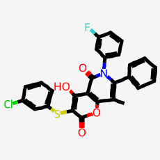 Cc1c(-c2ccccc2)n(-c2cccc(F)c2)c(=O)c2c(O)c(Sc3cccc(Cl)c3)c(=O)oc12